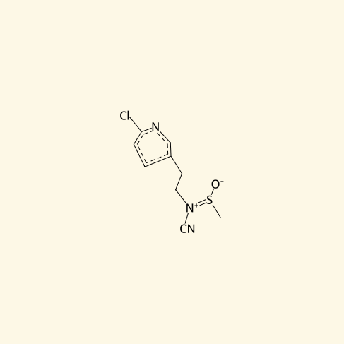 CS([O-])=[N+](C#N)CCc1ccc(Cl)nc1